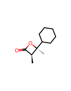 C[C@H]1C(=O)O[C@@]1(C)C1CCCCC1